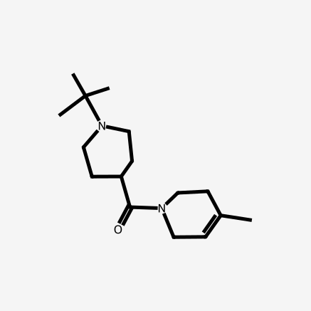 CC1=CCN(C(=O)C2CCN(C(C)(C)C)CC2)CC1